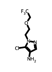 Nc1cnn(CCOCC(F)(F)F)c1Cl